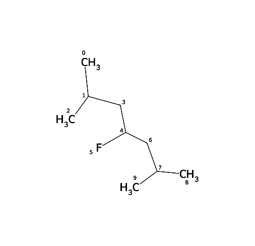 CC(C)CC(F)CC(C)C